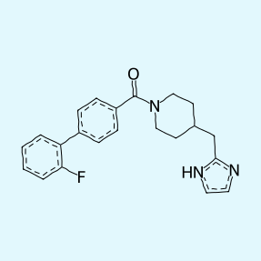 O=C(c1ccc(-c2ccccc2F)cc1)N1CCC(Cc2ncc[nH]2)CC1